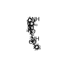 C[C@H](c1c[nH]c2ccccc12)[C@@H]1OC(N(C)C(=O)CCCNC(=O)OCc2ccccc2)=NC1=O